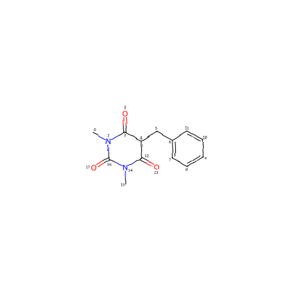 CN1C(=O)C(Cc2ccccc2)C(=O)N(C)C1=O